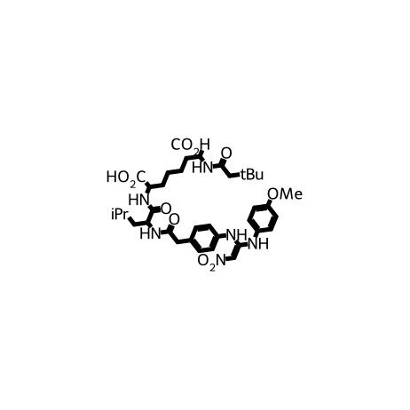 COc1ccc(NC(=C[N+](=O)[O-])Nc2ccc(CC(=O)NC(CC(C)C)C(=O)NC(CCCCC(NC(=O)CC(C)(C)C)C(=O)O)C(=O)O)cc2)cc1